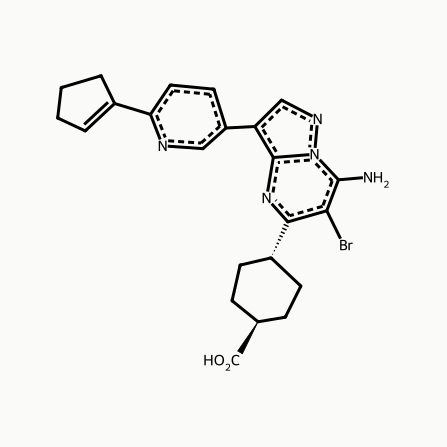 Nc1c(Br)c([C@H]2CC[C@H](C(=O)O)CC2)nc2c(-c3ccc(C4=CCCC4)nc3)cnn12